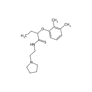 CCC(Oc1cccc(C)c1C)C(=S)NCCN1CCCC1